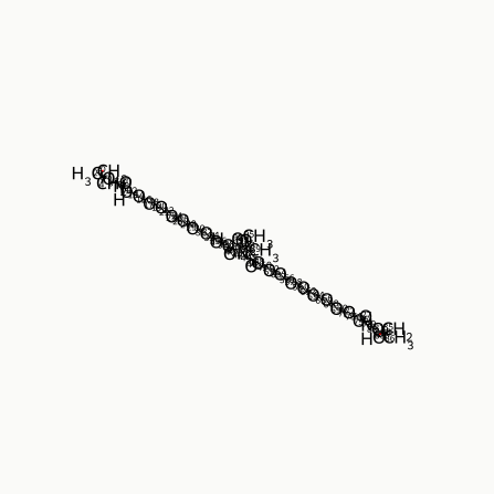 C=C(C)C(=C)OCCNC(=O)OCCOCCOCCOCCOCCOCCOCCOCCOCCOC(=O)CCN(CCC(=O)OCCOCCOCCOCCOCCOCCOCCOCCOCCOC(=O)NCCOC(=O)C(=C)C)C(CC)(COC)COC